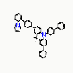 CC1(C)c2cc(-c3ccccc3)ccc2N(c2ccc(-c3ccccc3)cc2)c2ccc(-c3ccc(-c4ccccc4-n4c5ccc4cc5)cc3)cc21